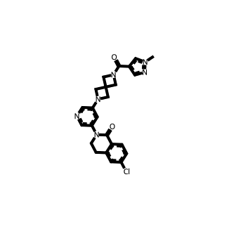 Cn1cc(C(=O)N2CC3(C2)CN(c2cncc(N4CCc5cc(Cl)ccc5C4=O)c2)C3)cn1